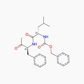 [CH2]C(=O)[C@H](Cc1ccccc1)NC(=O)[C@H](CC(C)C)NC(=O)OCc1ccccc1